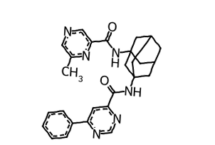 Cc1cncc(C(=O)NC23CC4CC(CC(NC(=O)c5cc(-c6ccccc6)ncn5)(C4)C2)C3)n1